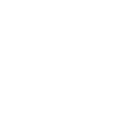 COCC1(c2cc(C(=O)OC)cs2)CC1